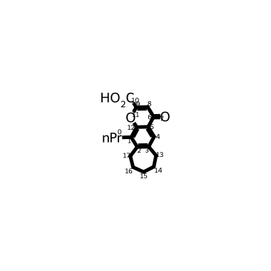 CCCc1c2c(cc3c(=O)cc(C(=O)O)oc13)CCCCC2